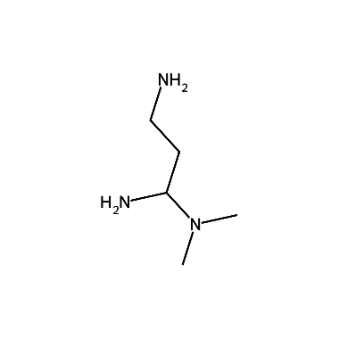 CN(C)C(N)CCN